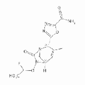 CC1=C[C@@H]2CN(C(=O)N2OC(F)C(=O)O)[C@@H]1c1nnc(C(N)=O)o1